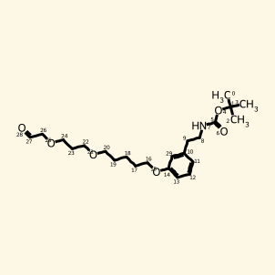 CC(C)(C)OC(=O)NCCc1cccc(OCCCCCOCCCOCC=O)c1